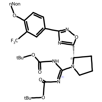 CCCCCCCCCOc1ccc(-c2noc([C@@H]3CCCN3/C(=N/C(=O)OC(C)(C)C)NC(=O)OC(C)(C)C)n2)cc1C(F)(F)F